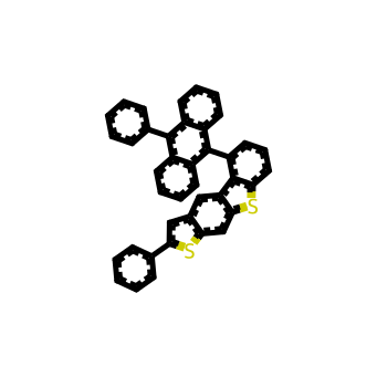 c1ccc(-c2cc3cc4c(cc3s2)sc2cccc(-c3c5ccccc5c(-c5ccccc5)c5ccccc35)c24)cc1